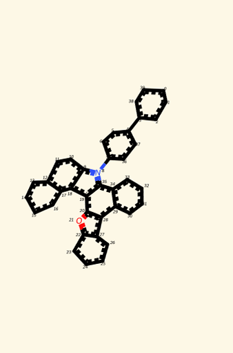 c1ccc(-c2ccc(-n3c4ccc5ccccc5c4c4c5oc6ccccc6c5c5ccccc5c43)cc2)cc1